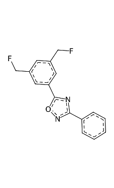 FCc1cc(CF)cc(-c2nc(-c3ccccc3)no2)c1